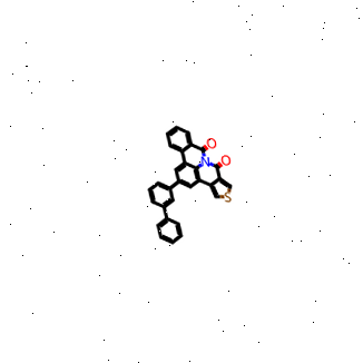 O=c1c2ccccc2c2cc(-c3cccc(-c4ccccc4)c3)cc3c4cscc4c(=O)n1c23